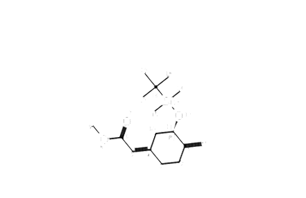 C=C1CCC(=CC(=O)OC)C[C@H]1O[Si](C)(C)C(C)(C)C